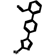 Cc1ncn(-c2ccc(-c3ccccc3C=O)cc2)n1